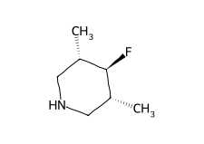 C[C@@H]1CNC[C@H](C)[C@H]1F